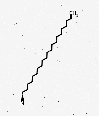 C=CCCCCCCCCCCCCCCCCCC[CH]C#N